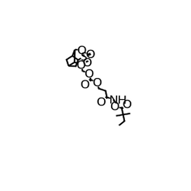 CCC(C)(C)C(=O)ONC(=O)CCOC(=O)OCOC1C2CC3C1OS(=O)(=O)C3C2